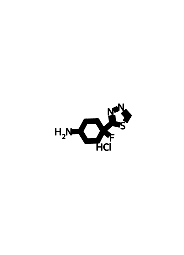 Cl.NC1CCC(F)(c2nncs2)CC1